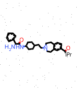 CC(C)C(=O)c1ccc2c(c1)CCN(CCC1CCC(NC(=O)[C@H](N)c3ccccc3)CC1)CC2